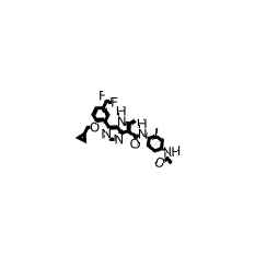 CC(=O)N[C@H]1CC[C@H](NC(=O)c2c(C)[nH]c3c(-c4cc(C(F)F)ccc4OCC4CC4)ncnc23)[C@@H](C)C1